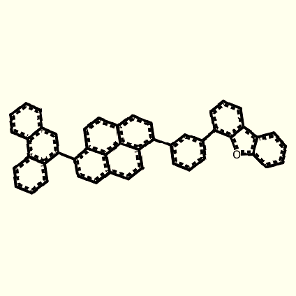 c1cc(-c2ccc3ccc4c(-c5cc6ccccc6c6ccccc56)ccc5ccc2c3c54)cc(-c2cccc3c2oc2ccccc23)c1